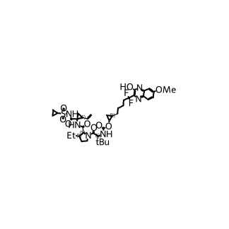 C=C[C@@H]1CC1(NC(=O)[C@@H]1[C@H](CC)CCN1C(=O)[C@@H](NC(=O)OC1C[C@H]1CCCCC(F)(F)c1nc2ccc(OC)cc2nc1O)C(C)(C)C)C(=O)NS(=O)(=O)C1CC1